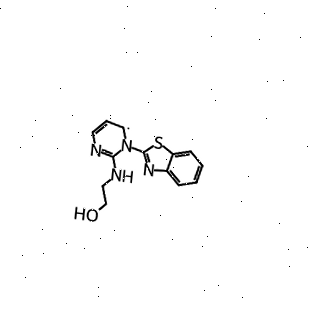 OCCNC1=NC=C[CH]N1c1nc2ccccc2s1